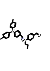 CCCN(/N=C/c1ccc(N(c2ccc(C)cc2)c2ccc(C)cc2)cc1)c1ccc(C=O)cc1